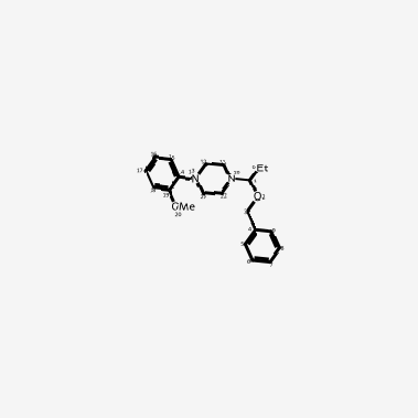 [CH2]CC(OCc1ccccc1)N1CCN(c2ccccc2OC)CC1